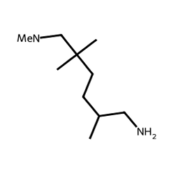 CNCC(C)(C)CCC(C)CN